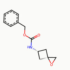 O=C(N[C@H]1C[C@@]2(CO2)C1)OCc1ccccc1